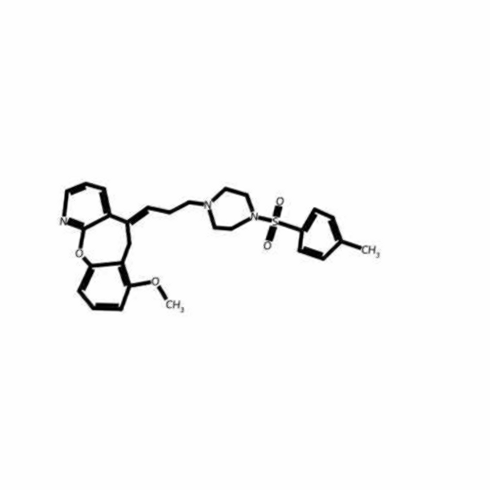 COc1cccc2c1CC(=CCCN1CCN(S(=O)(=O)c3ccc(C)cc3)CC1)c1cccnc1O2